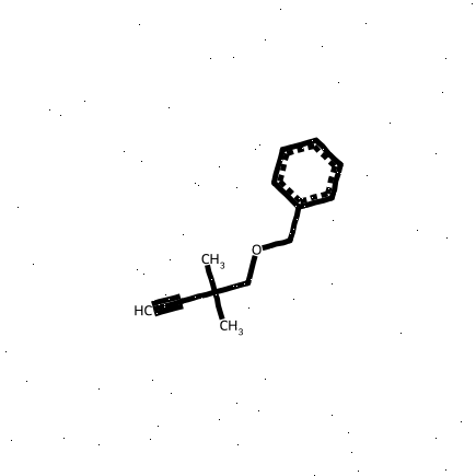 C#CC(C)(C)COCc1ccccc1